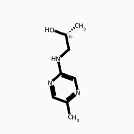 Cc1cnc(NC[C@@H](C)O)cn1